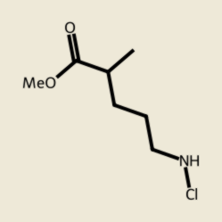 COC(=O)C(C)CCCNCl